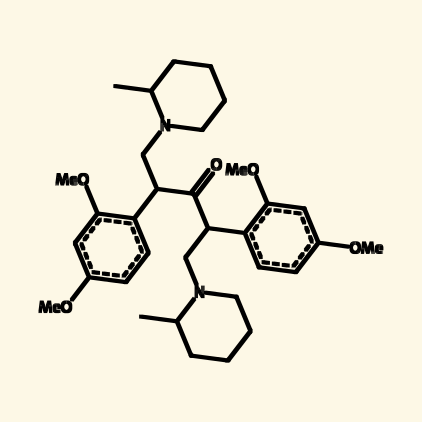 COc1ccc(C(CN2CCCCC2C)C(=O)C(CN2CCCCC2C)c2ccc(OC)cc2OC)c(OC)c1